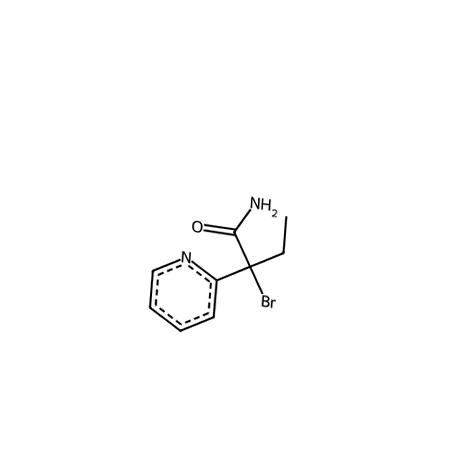 CCC(Br)(C(N)=O)c1ccccn1